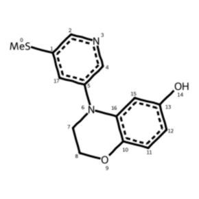 CSc1cncc(N2CCOc3ccc(O)cc32)c1